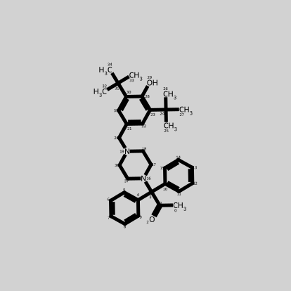 CC(=O)C(c1ccccc1)(c1ccccc1)N1CCN(Cc2cc(C(C)(C)C)c(O)c(C(C)(C)C)c2)CC1